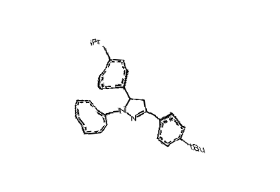 CC(C)c1ccc(C2CC(c3ccc(C(C)(C)C)cc3)=NN2c2ccccc2)cc1